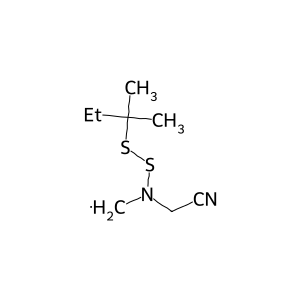 [CH2]N(CC#N)SSC(C)(C)CC